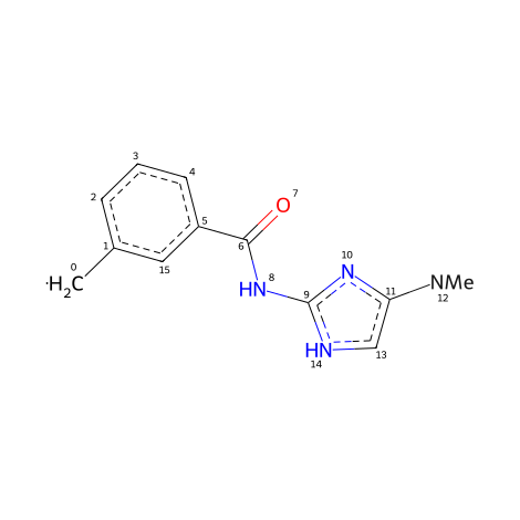 [CH2]c1cccc(C(=O)Nc2nc(NC)c[nH]2)c1